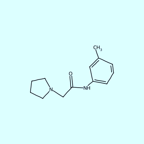 Cc1cccc(NC(=O)CN2CCCC2)c1